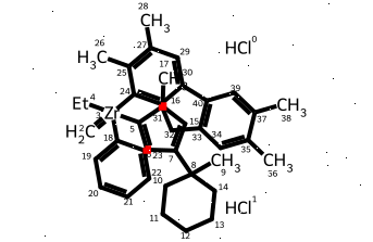 Cl.Cl.[CH2]=[Zr]([CH2]C)([C]1=CC(C2(C)CCCCC2)=CC1C)([c]1ccccc1)[c]1c(C)c(C)cc2c1Cc1cc(C)c(C)cc1-2